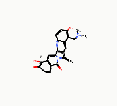 C=c1c2cc3c(CN(C)C)c(O)ccc3nc2c2cc3c(c(=O)n12)CCC(=O)[C@]3(O)CC